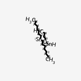 CCCCCCC[CH2][Sn][CH2]CCCCCCC.CCCC[O][SnH]